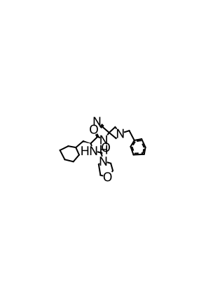 N#CC1(NC(=O)[C@H](CC2CCCCC2)NC(=O)N2CCOCC2)CN(Cc2ccccc2)C1